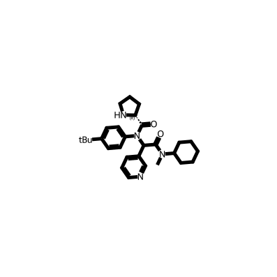 CN(C(=O)C(c1cccnc1)N(C(=O)[C@H]1CCCN1)c1ccc(C(C)(C)C)cc1)C1CCCCC1